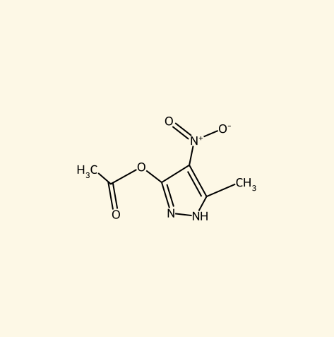 CC(=O)Oc1n[nH]c(C)c1[N+](=O)[O-]